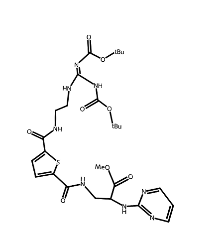 COC(=O)C(CNC(=O)c1ccc(C(=O)NCCNC(=NC(=O)OC(C)(C)C)NC(=O)OC(C)(C)C)s1)Nc1ncccn1